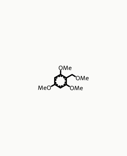 [CH2]OCc1c(OC)cc(OC)cc1OC